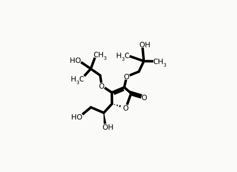 CC(C)(O)COC1=C(OCC(C)(C)O)[C@@H]([C@@H](O)CO)OC1=O